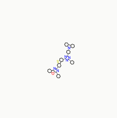 c1ccc(-c2nc(-c3ccc(-n4c5ccccc5c5ccccc54)cc3)nc(-c3ccc4sc5cc(-c6nc(-c7ccccc7)c7oc8ccccc8c7n6)ccc5c4c3)n2)cc1